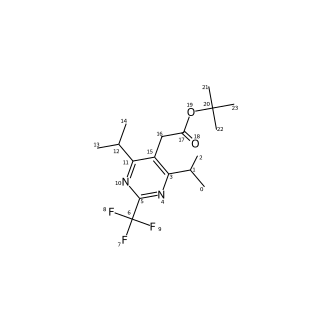 CC(C)c1nc(C(F)(F)F)nc(C(C)C)c1CC(=O)OC(C)(C)C